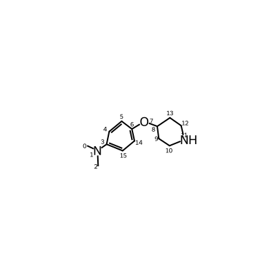 CN(C)c1ccc(OC2CCNCC2)cc1